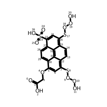 O=C(O)COc1cc(SOOO)c2ccc3c(SOOO)cc(S(=O)(=O)O)c4ccc1c2c34